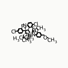 CCOCc1ccc(NC(=O)[C@@H]2N[C@H](CC(C)(C)C)[C@](C#N)(c3ccc(Cl)cc3F)[C@H]2c2cccc(Cl)c2F)c(OC)c1